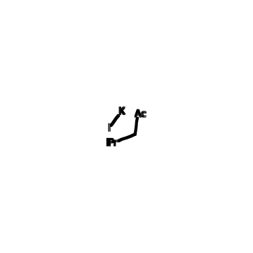 CC(=O)CC(C)C.[K][I]